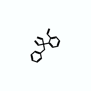 C=Cc1ccccc1C(C=C)(C=C)Cc1ccccc1